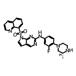 C[C@@H]1CN(c2ccc(Nc3ncc4ccn(S(=O)(=O)c5cccc6cccnc56)c4n3)cc2F)CCN1